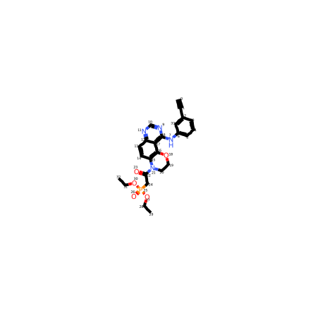 C#Cc1cccc(Nc2ncnc3ccc4c(c23)OCCN4C(=O)CP(=O)(OCC)OCC)c1